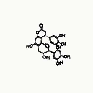 O=C1C[C@H](c2cc(O)c(O)c(O)c2)c2c(cc(O)c3c2O[C@@H](c2ccc(O)c(O)c2)[C@H](O)C3)O1